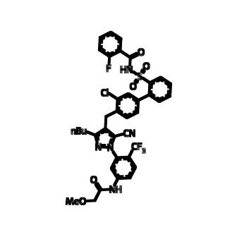 CCCCc1nn(-c2cc(NC(=O)COC)ccc2C(F)(F)F)c(C#N)c1Cc1ccc(-c2ccccc2S(=O)(=O)NC(=O)c2ccccc2F)cc1Cl